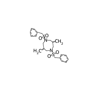 C=C1CN(S(=O)(=O)Cc2ccccc2)CC(=C)CN(S(=O)(=O)Cc2ccccc2)C1